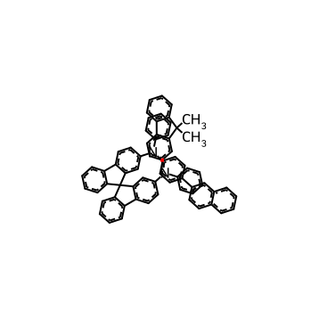 CC1(C)c2ccccc2-c2ccc(N(c3ccccc3)c3ccc4c(c3)C3(c5ccccc5-c5ccc(N(c6ccccc6)c6ccc(-c7ccc8ccccc8c7)cc6)cc53)c3ccccc3-4)cc21